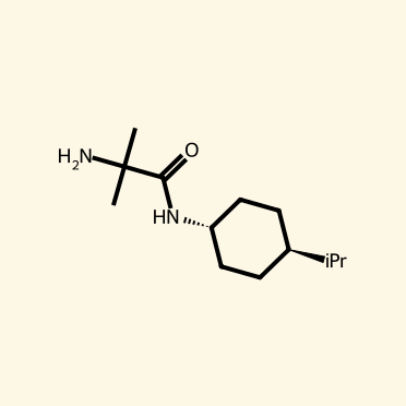 CC(C)[C@H]1CC[C@H](NC(=O)C(C)(C)N)CC1